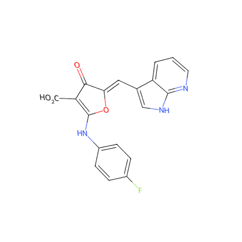 O=C(O)C1=C(Nc2ccc(F)cc2)OC(=Cc2c[nH]c3ncccc23)C1=O